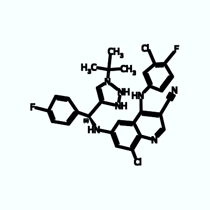 CC(C)(C)N1C=C([C@@H](Nc2cc(Cl)c3ncc(C#N)c(Nc4ccc(F)c(Cl)c4)c3c2)c2ccc(F)cc2)NN1